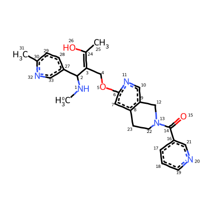 CNC(/C(COc1cc2c(cn1)CN(C(=O)c1cccnc1)CC2)=C(/C)O)c1ccc(C)nc1